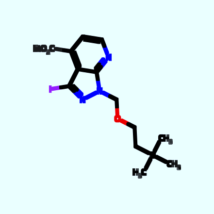 CCOC(=O)c1ccnc2c1c(I)nn2COCC[Si](C)(C)C